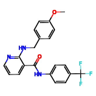 COc1ccc(CNc2ncccc2C(=O)Nc2ccc(C(F)(F)F)cc2)cc1